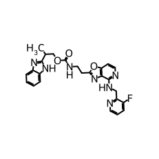 CC(COC(=O)NCCc1nc2c(NCc3ncccc3F)nccc2o1)c1nc2ccccc2[nH]1